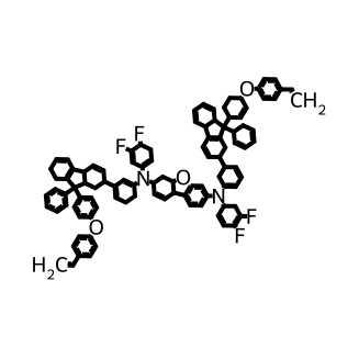 C=Cc1ccc(Oc2ccc(C3(c4ccccc4)C4=C(C=CCC4)C4C=CC(C5=CCCC(N(C6=CCC(F)C(F)=C6)C6C=CC7c8ccc(N(C9=CC=CC(C%10C=CC%11=C(C%10)C(C%10C=CC=CC%10)(C%10C=CC(Oc%12ccc(C=C)cc%12)CC%10)C%10C=CC=CC%11%10)C9)C9C=CC(F)=C(F)C9)cc8OC7C6)=C5)CC43)cc2)cc1